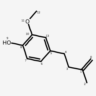 C=C(C)CCc1ccc(O)c(OC)c1